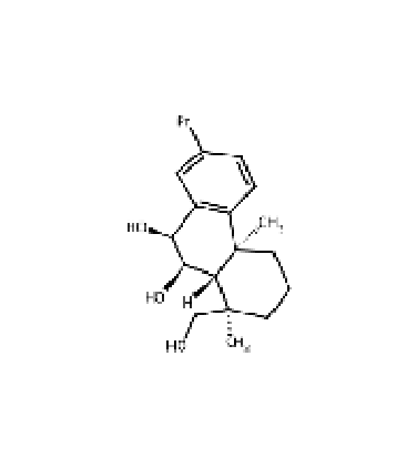 CC(C)c1ccc2c(c1)[C@H](O)[C@H](O)[C@H]1[C@](C)(CO)CCC[C@]21C